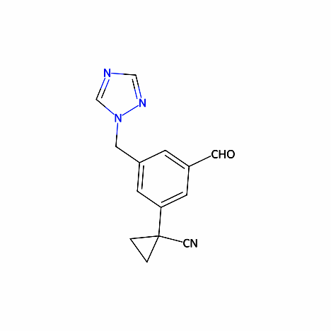 N#CC1(c2cc(C=O)cc(Cn3cncn3)c2)CC1